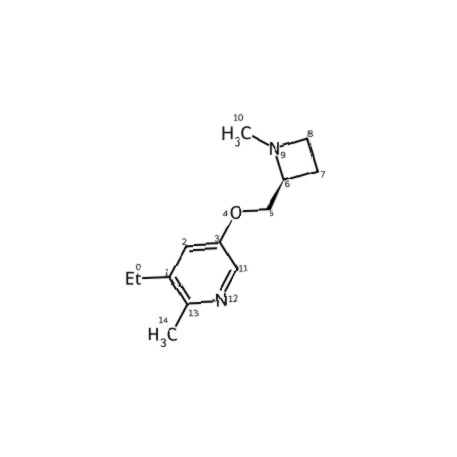 CCc1cc(OC[C@@H]2CCN2C)cnc1C